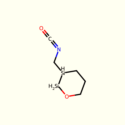 O=C=NC[SiH]1CCCO[SiH2]1